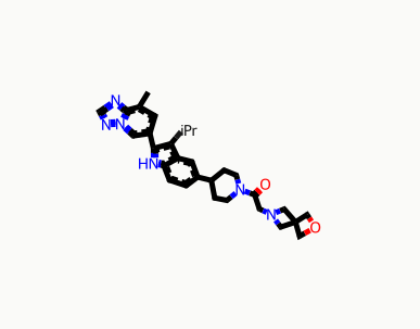 Cc1cc(-c2[nH]c3ccc(C4CCN(C(=O)CN5CC6(COC6)C5)CC4)cc3c2C(C)C)cn2ncnc12